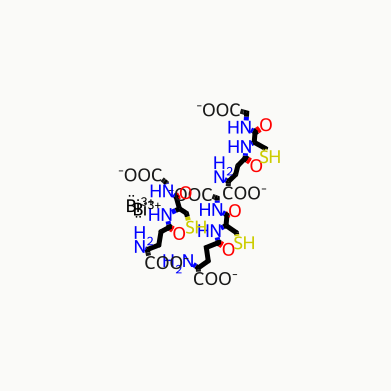 NC(CCC(=O)NC(CS)C(=O)NCC(=O)[O-])C(=O)[O-].NC(CCC(=O)NC(CS)C(=O)NCC(=O)[O-])C(=O)[O-].NC(CCC(=O)NC(CS)C(=O)NCC(=O)[O-])C(=O)[O-].[Bi+3].[Bi+3]